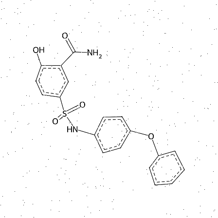 NC(=O)c1cc(S(=O)(=O)Nc2ccc(Oc3ccccc3)cc2)ccc1O